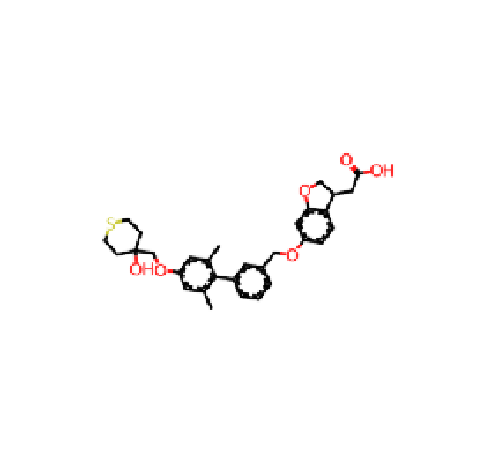 Cc1cc(OCC2(O)CCSCC2)cc(C)c1-c1cccc(COc2ccc3c(c2)OCC3CC(=O)O)c1